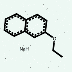 CCOc1ccc2ccccc2c1.[NaH]